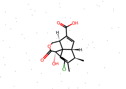 CC1=CC23[C@H](C=C(C(=O)O)[C@@H]2COC(=O)[C@]3(O)CCl)[C@H]1C